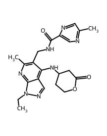 CCn1ncc2c(NC3CCOC(=O)C3)c(CNC(=O)c3cnc(C)cn3)c(C)nc21